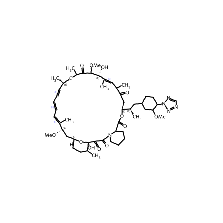 COC1CC(C[C@@H](C)[C@@H]2CC(=O)C(C)/C=C(\C)[C@@H](O)C(OC)C(=O)C(C)C[C@H](C)/C=C/C=C/C=C(\C)[C@@H](OC)C[C@@H]3CCC(C)C(O)(O3)C(=O)C(=O)N3CCCCC3C(=O)O2)CCC1n1ncnn1